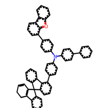 C1=CC2=C(CC1)c1ccccc1C21c2ccccc2-c2c(-c3ccc(N(c4ccc(-c5ccccc5)cc4)c4ccc(-c5cccc6c5oc5ccccc56)cc4)cc3)cccc21